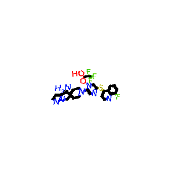 N[C@@H]1c2ccnn2CC12CCN(c1cnc(Sc3ccnc4c(F)cccc34)cn1)CC2.O=C(O)C(F)(F)F